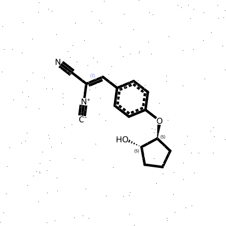 [C-]#[N+]/C(C#N)=C\c1ccc(O[C@H]2CCC[C@@H]2O)cc1